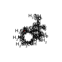 CNC(=O)c1ccccc1Sc1ccc2c(/C=C/c3ccccn3)nn(C(=O)OC[C@@H](C)SSCC(=O)N[C@@H](CCN)C(=O)N[C@@H](C(=O)N[C@@H](CCN)C(=O)N[C@@H]3CCNC(=O)[C@H]([C@H](C)O)NC(=O)[C@H](CCN)NC(=O)[C@H](CCN)NC(=O)[C@H](CC(C)C)NC(=O)[C@H](Cc4ccccc4)NC(=O)[C@H](CCN)NC3=O)C(C)O)c2c1